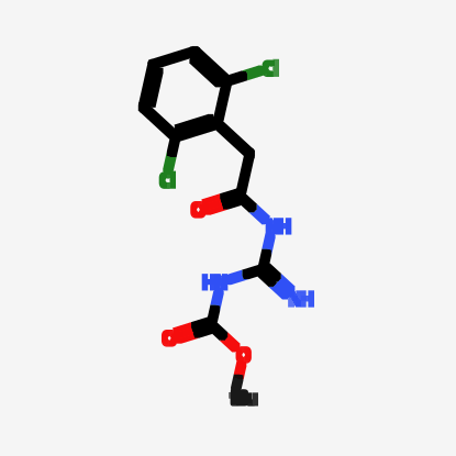 CC(C)(C)OC(=O)NC(=N)NC(=O)Cc1c(Cl)cccc1Cl